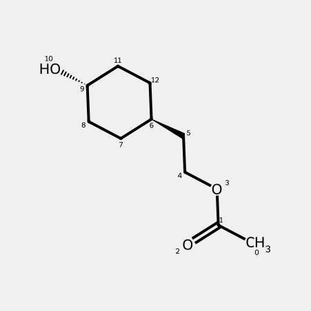 CC(=O)OCC[C@H]1CC[C@H](O)CC1